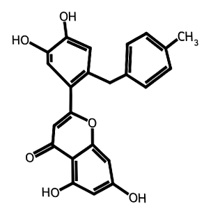 Cc1ccc(Cc2cc(O)c(O)cc2-c2cc(=O)c3c(O)cc(O)cc3o2)cc1